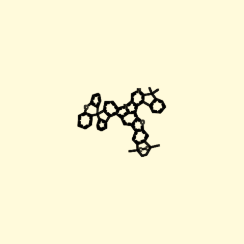 CC12CCC(C)(CC1)c1cc3c(cc12)oc1c3cc2c3c4c(ccc3n3c5cnc6c(c5c1c23)-c1ccccc1C6(C)C)C1(c2ccccc2Oc2ccccc21)c1ccccc1-4